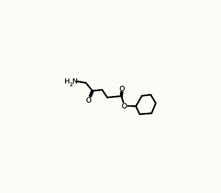 NCC(=O)CCC(=O)OC1CCCCC1